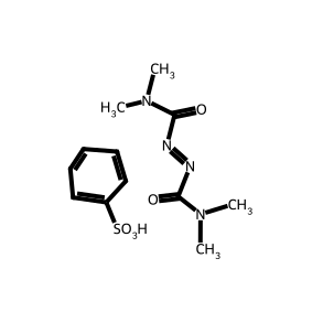 CN(C)C(=O)N=NC(=O)N(C)C.O=S(=O)(O)c1ccccc1